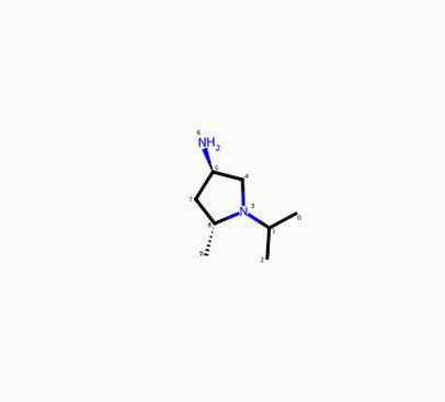 CC(C)N1C[C@H](N)C[C@H]1C